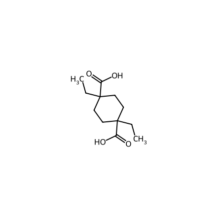 CCC1(C(=O)O)CCC(CC)(C(=O)O)CC1